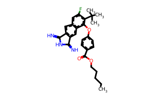 CCCCCOC(=O)c1ccc(Oc2c(C(C)(C)C)c(F)cc3cc4c(cc23)C(=N)NC4=N)cc1